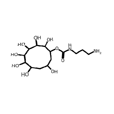 NCCCNC(=O)OC1CC(O)CC(O)C(O)C(O)C(O)C(O)C1O